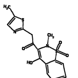 Cc1cnc(CC(=O)C2=C(O)c3ccccc3S(=O)(=O)N2C)s1